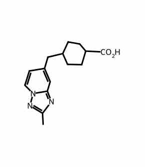 Cc1nc2cc(CC3CCC(C(=O)O)CC3)ccn2n1